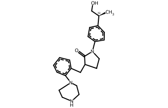 C[C@H](CO)c1ccc(N2CCC(Cc3ccccc3N3CCNCC3)C2=O)cc1